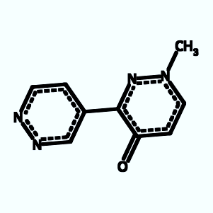 Cn1ccc(=O)c(-c2ccnnc2)n1